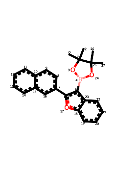 CC1(C)OB(c2c(-c3ccc4ccccc4c3)oc3ccccc23)OC1(C)C